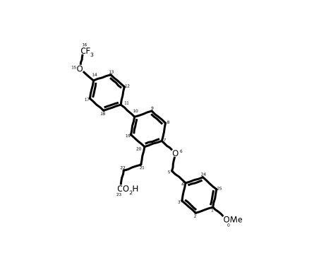 COc1ccc(COc2ccc(-c3ccc(OC(F)(F)F)cc3)cc2CCC(=O)O)cc1